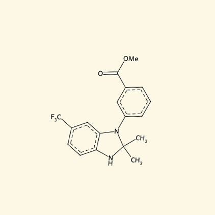 COC(=O)c1cccc(N2c3cc(C(F)(F)F)ccc3NC2(C)C)c1